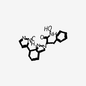 Cn1nccc1-c1cccc2cn(C(Cc3ccccc3)C(=O)NO)nc12